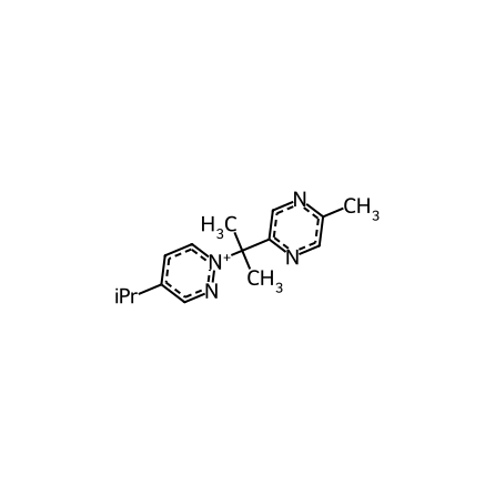 Cc1cnc(C(C)(C)[n+]2ccc(C(C)C)cn2)cn1